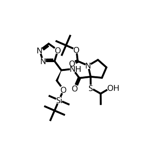 CC(O)SC1(C(=O)N[C@@H](CO[Si](C)(C)C(C)(C)C)c2nnco2)CCCN1C(=O)OC(C)(C)C